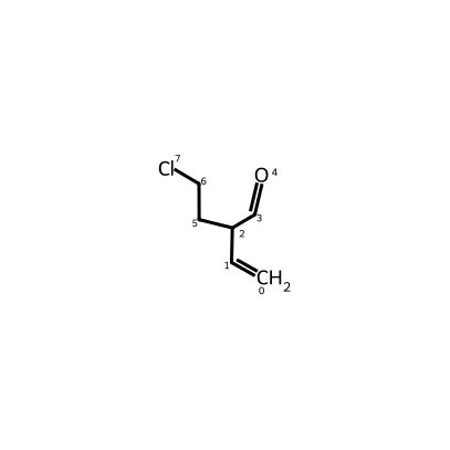 C=CC(C=O)CCCl